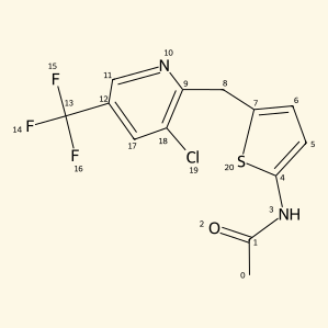 CC(=O)Nc1ccc(Cc2ncc(C(F)(F)F)cc2Cl)s1